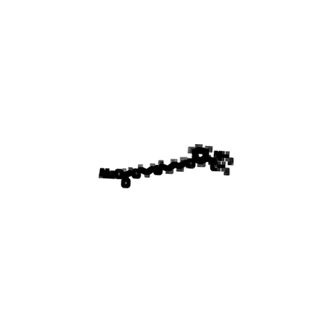 COC(=O)COCCCOCCCCCOc1cccc(C(C)N)c1